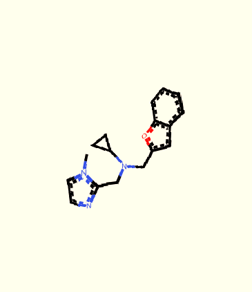 Cn1ccnc1CN(Cc1cc2ccccc2o1)C1CC1